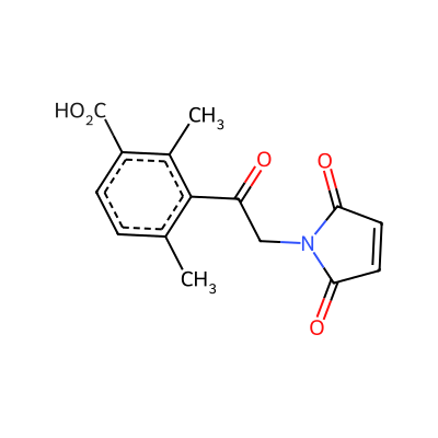 Cc1ccc(C(=O)O)c(C)c1C(=O)CN1C(=O)C=CC1=O